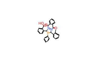 Cc1ccccc1C1n2c(=O)c3ccccc3c(=O)n2C(c2ccccc2C(=O)O)P1c1ccccc1